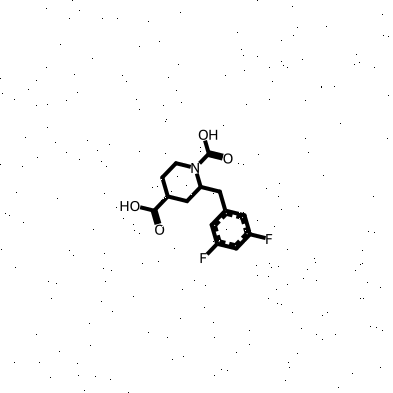 O=C(O)C1CCN(C(=O)O)C(Cc2cc(F)cc(F)c2)C1